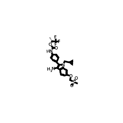 C[C@@H](OC(=O)Nc1ccc(-c2c(N)c3ccc(OCS(C)(=O)=O)cc3n2CC2CC2)cc1)C(F)(F)F